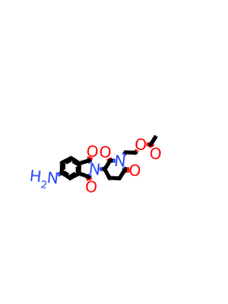 CC(=O)OCCN1C(=O)CCC(N2C(=O)c3ccc(N)cc3C2=O)C1=O